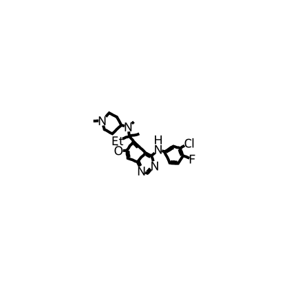 CCOc1cc2ncnc(Nc3ccc(F)c(Cl)c3)c2cc1C(C)(C)N(C)C1CCN(C)CC1